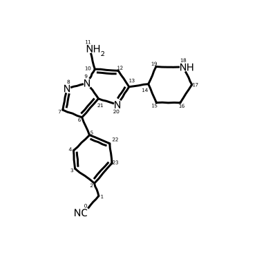 N#CCc1ccc(-c2cnn3c(N)cc(C4CCCNC4)nc23)cc1